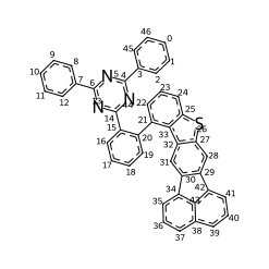 c1ccc(-c2nc(-c3ccccc3)nc(-c3ccccc3-c3cccc4sc5cc6c(cc5c34)-c3cccc4cccc-6c34)n2)cc1